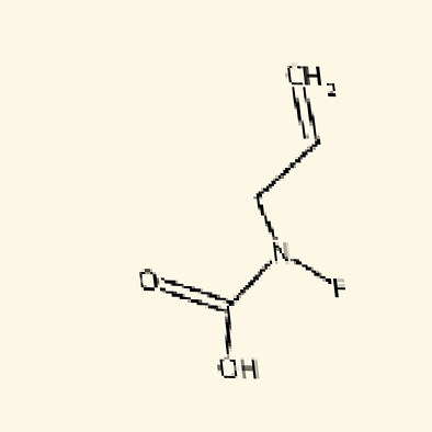 C=CCN(F)C(=O)O